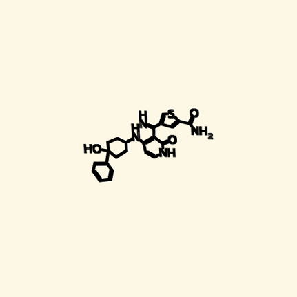 N=C(c1csc(C(N)=O)c1)c1c(NC2CCC(O)(c3ccccc3)CC2)cc[nH]c1=O